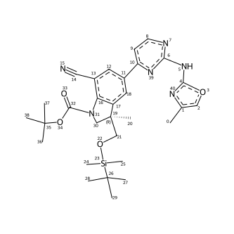 Cc1coc(Nc2nccc(-c3cc(C#N)c4c(c3)[C@@](C)(CO[Si](C)(C)C(C)(C)C)CN4C(=O)OC(C)(C)C)n2)n1